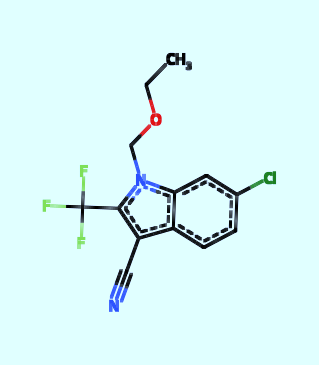 CCOCn1c(C(F)(F)F)c(C#N)c2ccc(Cl)cc21